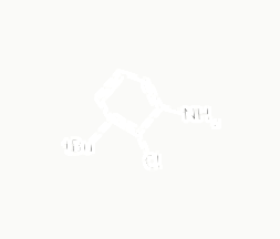 CC(C)(C)c1cccc(N)c1Cl